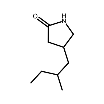 CCC(C)CC1CNC(=O)C1